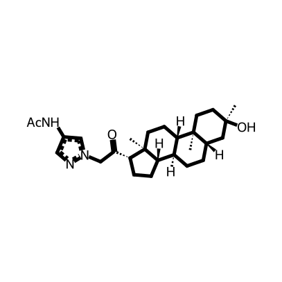 CC(=O)Nc1cnn(CC(=O)[C@H]2CC[C@H]3[C@@H]4CC[C@H]5C[C@](C)(O)CC[C@]5(C)[C@H]4CC[C@]23C)c1